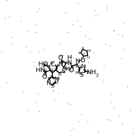 Nc1nc(C(=NOC2CCCC2)C(=O)N[C@@H]2C(=O)N3C(C(=O)O)=C(C(=C4CCNC4=O)c4cnccn4)CS[C@H]23)cs1